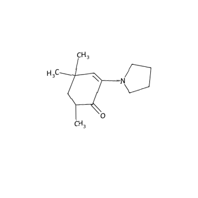 CC1CC(C)(C)C=C(N2CCCC2)C1=O